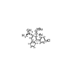 CC(=O)[C@@H](OC(C)(C)C)c1c(CN(C)C)cc2ccccc2c1-c1ccc(Cl)cc1